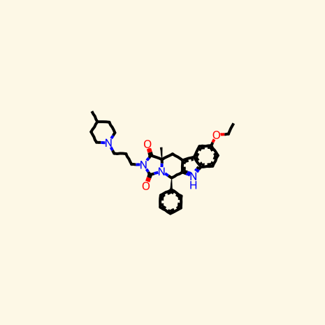 CCOc1ccc2[nH]c3c(c2c1)C[C@@]1(C)C(=O)N(CCCN2CCC(C)CC2)C(=O)N1[C@@H]3c1ccccc1